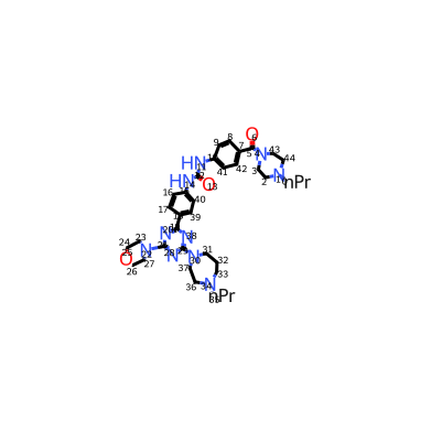 CCCN1CCN(C(=O)c2ccc(NC(=O)Nc3ccc(-c4nc(N5CCOCC5)nc(N5CCCN(CCC)CC5)n4)cc3)cc2)CC1